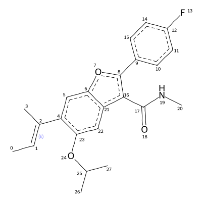 C/C=C(\C)c1cc2oc(-c3ccc(F)cc3)c(C(=O)NC)c2cc1OC(C)C